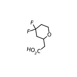 O=C(O)CC1CC(F)(F)CCO1